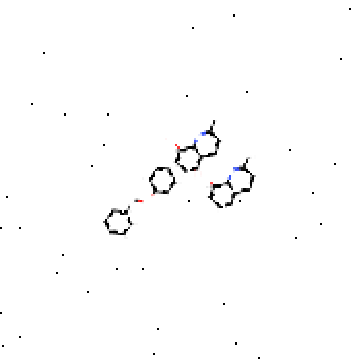 Cc1ccc2cccc(O)c2n1.Cc1ccc2cccc(O)c2n1.c1ccc([O][Al][c]2ccccc2)cc1